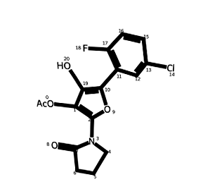 CC(=O)Oc1c(N2CCCC2=O)oc(-c2cc(Cl)ccc2F)c1O